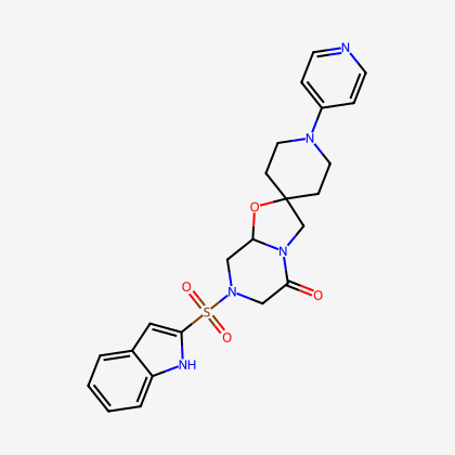 O=C1CN(S(=O)(=O)c2cc3ccccc3[nH]2)CC2OC3(CCN(c4ccncc4)CC3)CN12